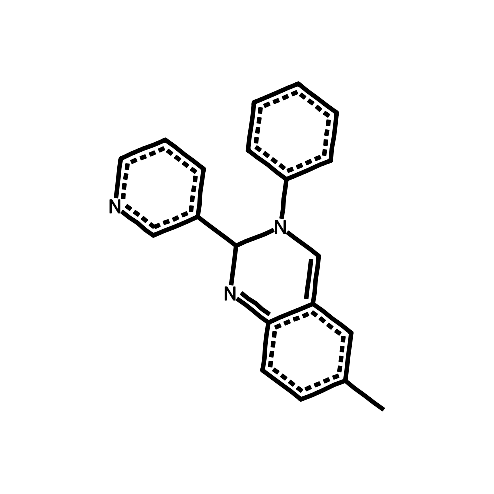 Cc1ccc2c(c1)=CN(c1ccccc1)C(c1cccnc1)N=2